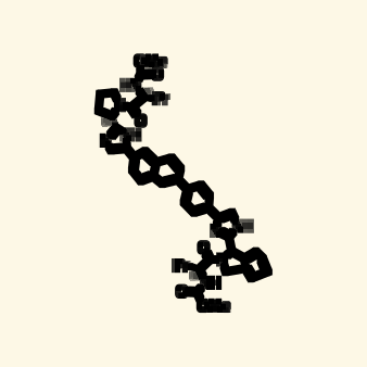 COC(=O)N[C@H](C(=O)N1Cc2ccccc2C1c1nc(-c2ccc(-c3ccc4cc(-c5cnc([C@@H]6CCCN6C(=O)[C@@H](NC(=O)OC)C(C)C)[nH]5)ccc4c3)cc2)c[nH]1)C(C)C